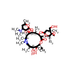 CC[C@H]1OC(=O)C(C)C(OC2C[C@@](C)(CO)[C@]3(CO3)[C@H](C)O2)[C@H](C)[C@@H](O[C@@H]2O[C@H](C)C[C@H](N(C)C)[C@H]2O)[C@@](C)(O)C[C@@H](C)N(C)C[C@H](C)[C@@H](O)[C@]1(C)O